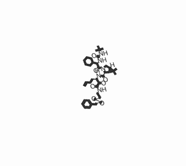 C=CCC[C@@H](NC(=O)[C@@H]1C2[C@H](CN1C(=O)[C@@H](NC(=O)NC(C)(C)C)C1CCCCC1)C2(C)C)C(=O)C(=O)NCCS(=O)(=O)Cc1ccccc1